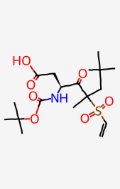 C=CS(=O)(=O)C(C)(CC(C)(C)C)C(=O)[C@H](CC(=O)O)NC(=O)OC(C)(C)C